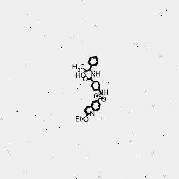 CCOc1ccc2cc(S(=O)(=O)NC3CCC(C(=O)N[C@@H](c4ccccc4)[C@@H](C)O)CC3)ccc2n1